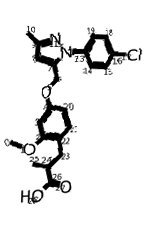 COc1cc(OCc2cc(C)nn2-c2ccc(Cl)cc2)ccc1CC(C)C(=O)O